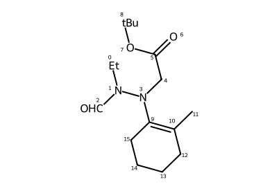 CCN(C=O)N(CC(=O)OC(C)(C)C)C1=C(C)CCCC1